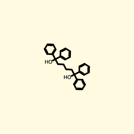 OC(CCCCC(O)(c1ccccc1)c1ccccc1)(c1ccccc1)c1ccccc1